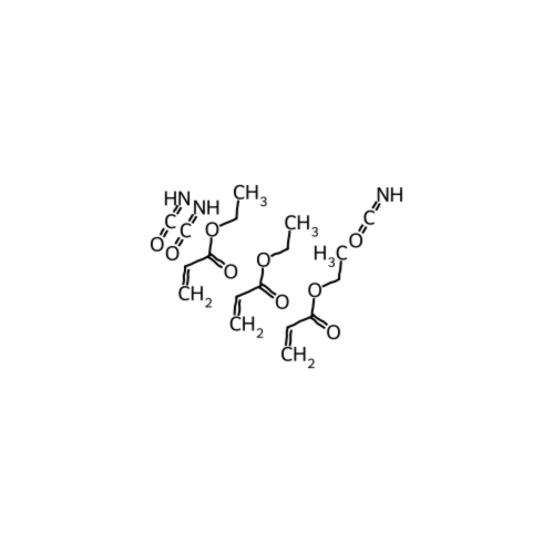 C=CC(=O)OCC.C=CC(=O)OCC.C=CC(=O)OCC.N=C=O.N=C=O.N=C=O